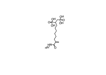 C=C(CCCCCCC(CP(=O)(O)O)P(=O)(O)O)C(=O)NCCC